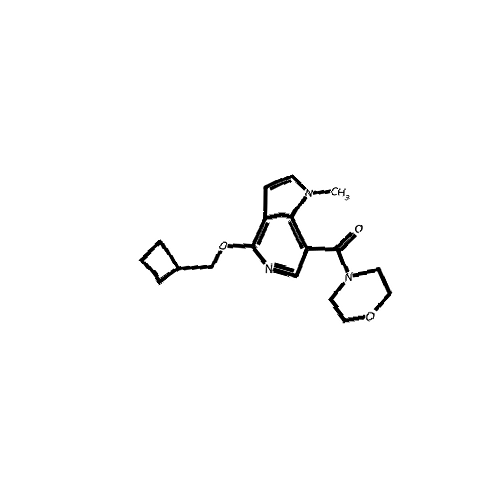 Cn1ccc2c(OCC3CCC3)ncc(C(=O)N3CCOCC3)c21